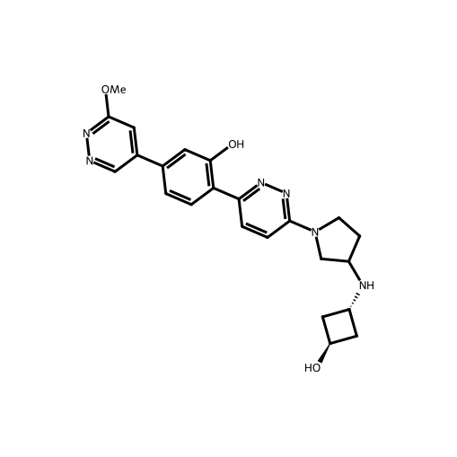 COc1cc(-c2ccc(-c3ccc(N4CCC(N[C@H]5C[C@H](O)C5)C4)nn3)c(O)c2)cnn1